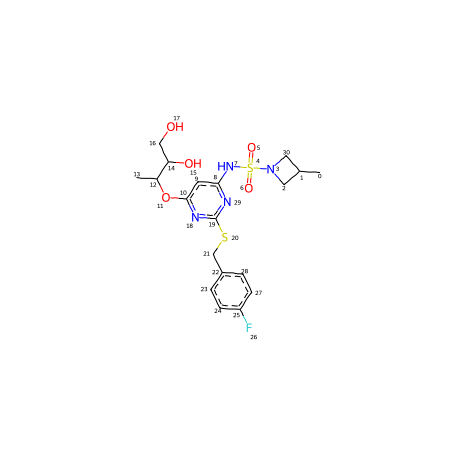 CC1CN(S(=O)(=O)Nc2cc(OC(C)C(O)CO)nc(SCc3ccc(F)cc3)n2)C1